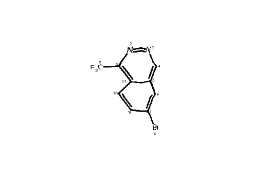 FC(F)(F)c1nncc2cc(Br)ccc12